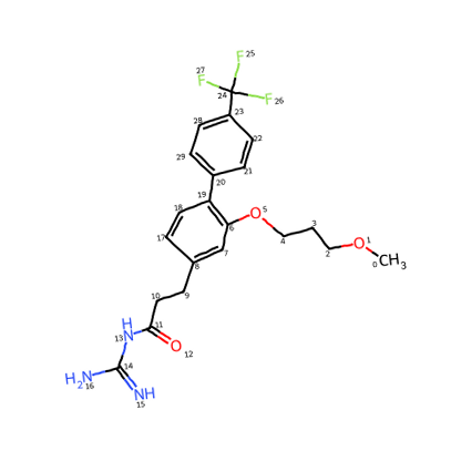 COCCCOc1cc(CCC(=O)NC(=N)N)ccc1-c1ccc(C(F)(F)F)cc1